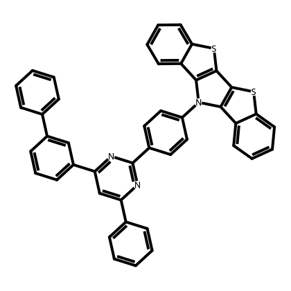 c1ccc(-c2cccc(-c3cc(-c4ccccc4)nc(-c4ccc(-n5c6c7ccccc7sc6c6sc7ccccc7c65)cc4)n3)c2)cc1